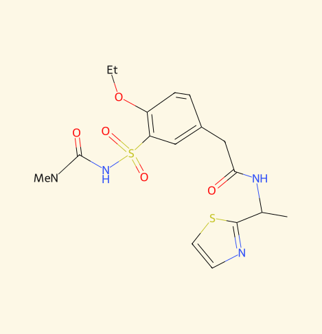 CCOc1ccc(CC(=O)NC(C)c2nccs2)cc1S(=O)(=O)NC(=O)NC